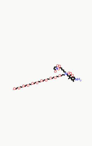 COCCOCCOCCOCCOCCOCCOCCOCCOCCOCCOCCCN(CCCCCC(=O)ON1C(=O)CCC1=O)C(=O)Cc1c(C)c2cc(C)c(N)cc2oc1=O